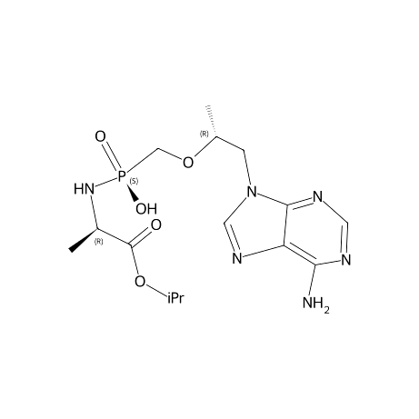 CC(C)OC(=O)[C@@H](C)N[P@@](=O)(O)CO[C@H](C)Cn1cnc2c(N)ncnc21